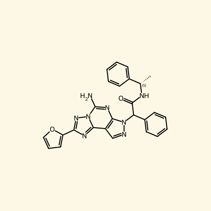 C[C@H](NC(=O)C(c1ccccc1)n1ncc2c1nc(N)n1nc(-c3ccco3)nc21)c1ccccc1